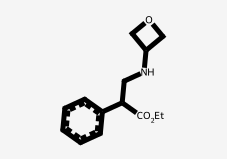 CCOC(=O)C(CNC1COC1)c1ccccc1